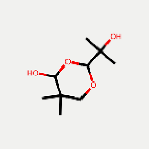 CC(C)(O)C1OCC(C)(C)C(O)O1